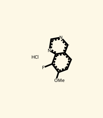 COc1ccc2[c]ncnc2c1F.Cl